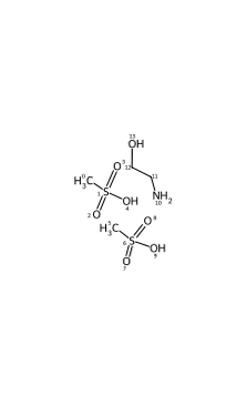 CS(=O)(=O)O.CS(=O)(=O)O.NCCO